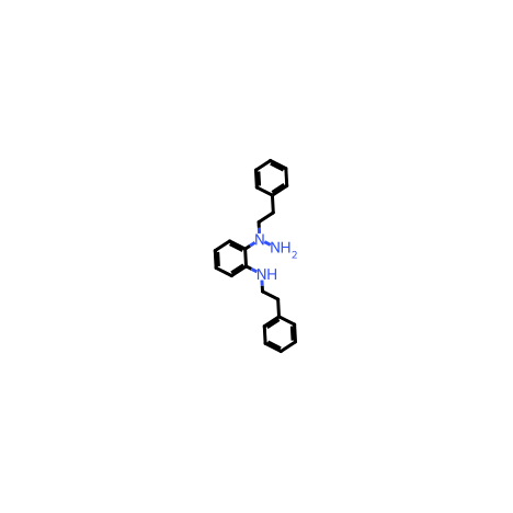 NN(CCc1ccccc1)c1ccccc1NCCc1ccccc1